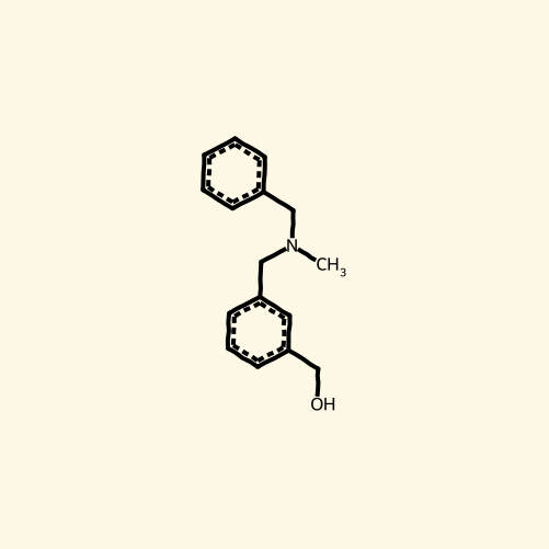 CN(Cc1ccccc1)Cc1cccc(CO)c1